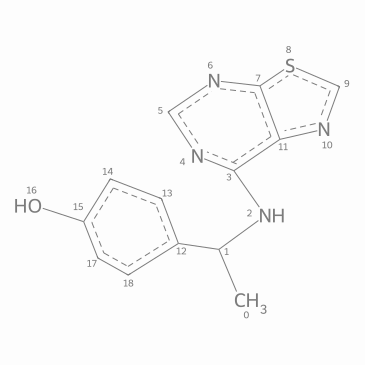 CC(Nc1ncnc2scnc12)c1ccc(O)cc1